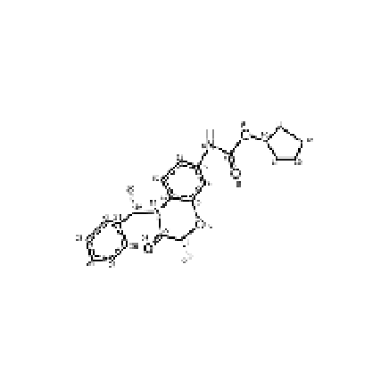 C[C@H]1Oc2cc(NC(=O)OC3CCCC3)ccc2N([C@@H](C)c2ccccc2)C1=O